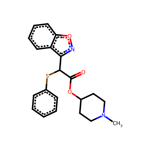 CN1CCC(OC(=O)C(Sc2ccccc2)c2noc3ccccc23)CC1